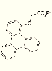 CCOC(=O)COc1cccc2c3ccccc3c3ccccc3c12